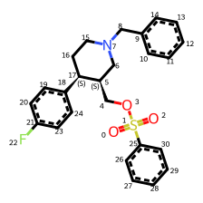 O=S(=O)(OC[C@@H]1CN(Cc2ccccc2)CC[C@@H]1c1ccc(F)cc1)c1ccccc1